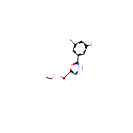 CCOC(=O)c1cnc(-c2cc(F)cc(Cl)c2)o1